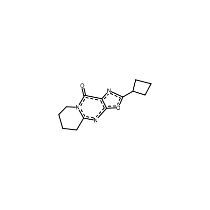 O=c1c2nc(C3CCC3)oc2nc2n1CCCC2